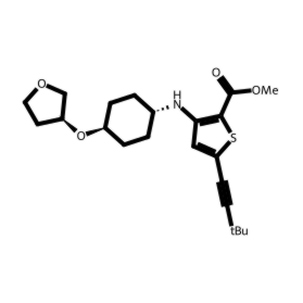 COC(=O)c1sc(C#CC(C)(C)C)cc1N[C@H]1CC[C@H](O[C@H]2CCOC2)CC1